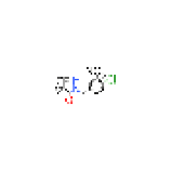 O=C(NCc1ccc(Cl)c([N+](=O)[O-])c1)C1(C(F)(F)F)CC1